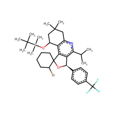 CC(C)c1nc2c(c3c1[C@@H](c1ccc(C(F)(F)F)cc1)OC31CCCCC1Br)C(O[Si](C)(C)C(C)(C)C)CC(C)(C)C2